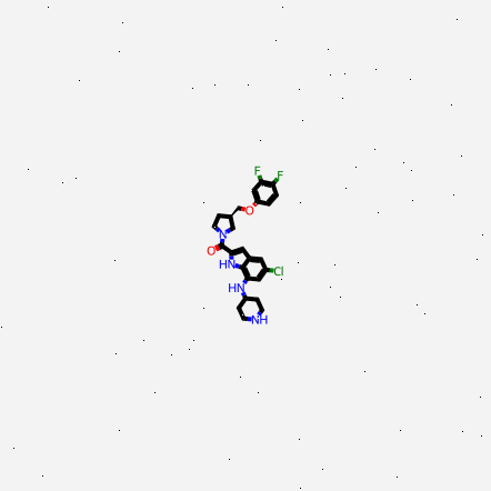 O=C(c1cc2cc(Cl)cc(NC3CCNCC3)c2[nH]1)N1CC[C@@H](COc2ccc(F)c(F)c2)C1